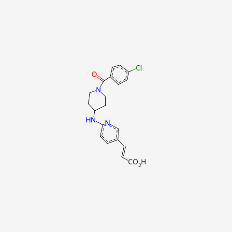 O=C(O)C=Cc1ccc(NC2CCN(C(=O)c3ccc(Cl)cc3)CC2)nc1